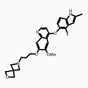 COc1cc2c(Oc3ccc4[nH]c(C)cc4c3F)ccnc2cc1OCCCN1CC2(COC2)C1